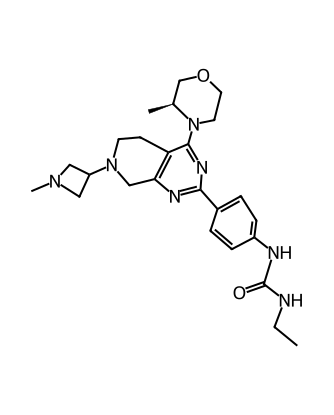 CCNC(=O)Nc1ccc(-c2nc3c(c(N4CCOC[C@@H]4C)n2)CCN(C2CN(C)C2)C3)cc1